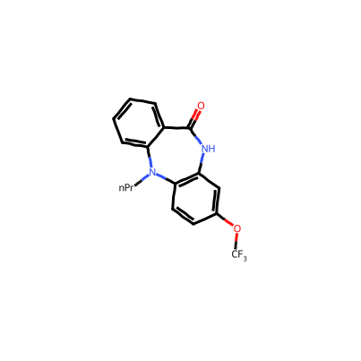 CCCN1c2ccc(OC(F)(F)F)cc2NC(=O)c2ccccc21